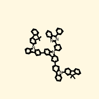 CC1(C)c2ccccc2-c2ccc(-n3c4ccccc4c4ccc(-c5ccc6c(c5)c5cc(-c7ccc8c9ccccc9n(-c9ccc%10c(c9)C(C)(C)c9ccccc9-%10)c8c7)ccc5n6-c5cccc(-c6nc(-c7ccccc7)c7ccccc7n6)c5)cc43)cc21